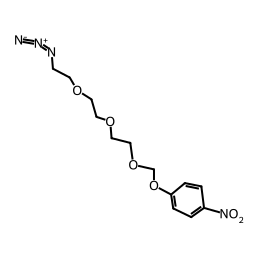 [N-]=[N+]=NCCOCCOCCOCOc1ccc([N+](=O)[O-])cc1